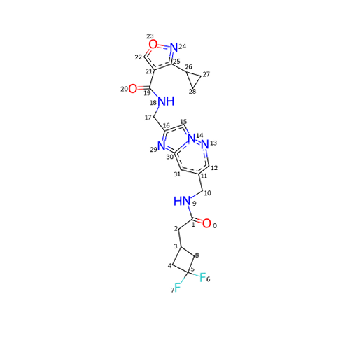 O=C(CC1CC(F)(F)C1)NCc1cnn2cc(CNC(=O)c3conc3C3CC3)nc2c1